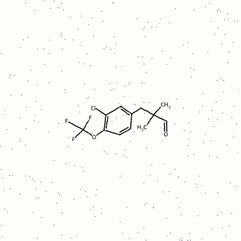 CC(C)(C=O)Cc1ccc(OC(F)(F)F)c(Cl)c1